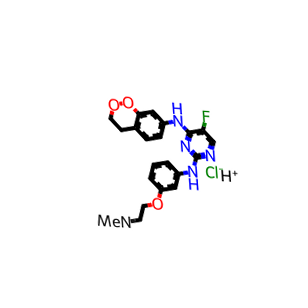 CNCCOc1cccc(Nc2ncc(F)c(Nc3ccc4c(c3)OOCC4)n2)c1.[Cl-].[H+]